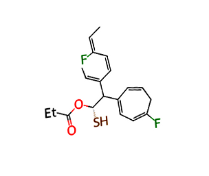 C\C=C(F)/C=C\C(=C/C)C(C1=CC=C(F)CC=C1)[C@H](S)OC(=O)CC